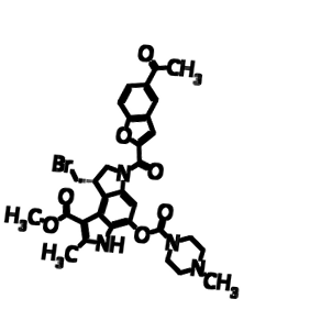 COC(=O)c1c(C)[nH]c2c(OC(=O)N3CCN(C)CC3)cc3c(c12)[C@H](CBr)CN3C(=O)c1cc2cc(C(C)=O)ccc2o1